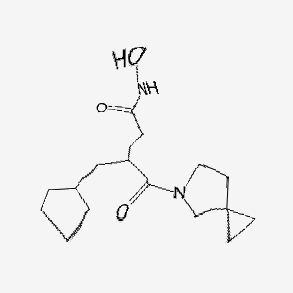 O=C(CC(CC1CCCC1)C(=O)N1CCC2(CC2)C1)NO